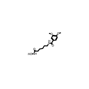 COc1ccc(C(=O)NCCCCCC(=O)NO)cc1OC